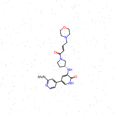 CNc1cc(-c2c[nH]c(=O)c(N[C@@H]3CCN(C(=O)/C=C/CN4CCOCC4)C3)c2)ccn1